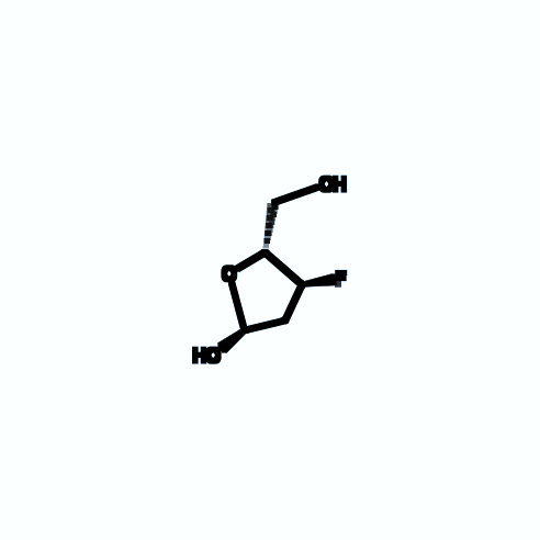 OC[C@H]1O[C@H](O)C[C@@H]1F